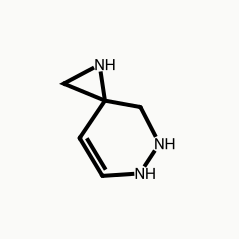 C1=CC2(CNN1)CN2